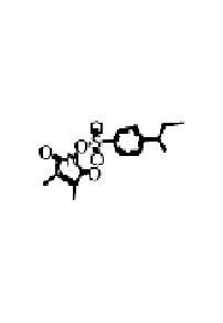 CCC(C)c1ccc(S(=O)(=O)ON2C(=O)C(C)=C(C)C2=O)cc1